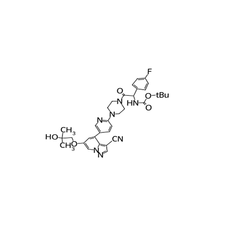 CC(C)(O)COc1cc(-c2ccc(N3CCN(C(=O)C(NC(=O)OC(C)(C)C)c4ccc(F)cc4)CC3)nc2)c2c(C#N)cnn2c1